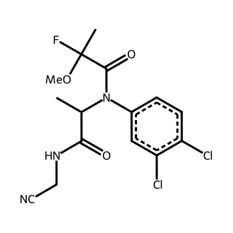 COC(C)(F)C(=O)N(c1ccc(Cl)c(Cl)c1)C(C)C(=O)NCC#N